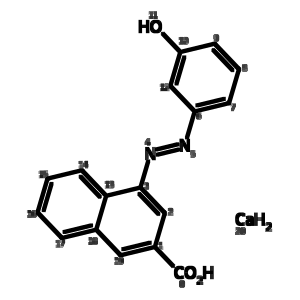 O=C(O)c1cc(N=Nc2cccc(O)c2)c2ccccc2c1.[CaH2]